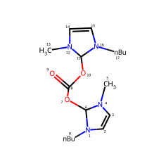 CCCCN1C=CN(C)C1OC(=O)OC1N(C)C=CN1CCCC